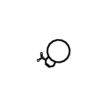 O=[N+]([O-])C1C=CCC2CCCCCCCCCCCCCC1C2